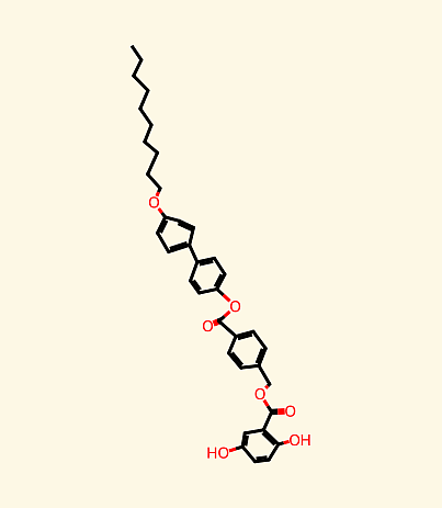 CCCCCCCCCCOc1ccc(-c2ccc(OC(=O)c3ccc(COC(=O)c4cc(O)ccc4O)cc3)cc2)cc1